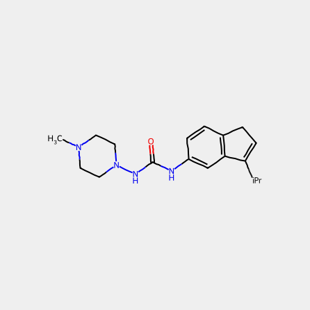 CC(C)C1=CCc2ccc(NC(=O)NN3CCN(C)CC3)cc21